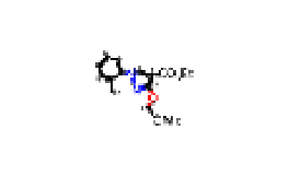 CCOC(=O)c1cn(-c2ccccc2C)nc1OCOC